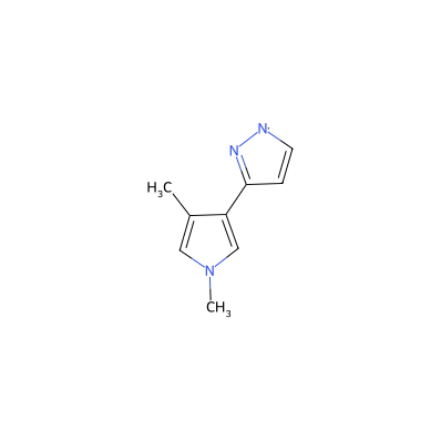 Cc1cn(C)cc1C1=N[N]C=C1